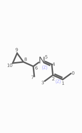 C/C=C(C)\C=N/C(C)C1CC1